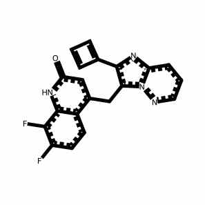 O=c1cc(Cc2c(C3=CC=C3)nc3cccnn23)c2ccc(F)c(F)c2[nH]1